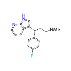 CNCCC(c1ccc(F)cc1)c1c[nH]c2ncccc12